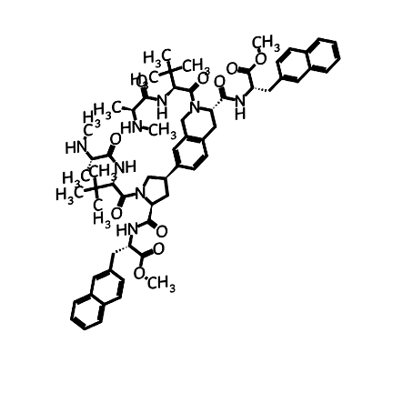 CN[C@@H](C)C(=O)N[C@H](C(=O)N1Cc2cc([C@H]3C[C@@H](C(=O)N[C@@H](Cc4ccc5ccccc5c4)C(=O)OC)N(C(=O)[C@@H](NC(=O)[C@H](C)NC)C(C)(C)C)C3)ccc2C[C@H]1C(=O)N[C@@H](Cc1ccc2ccccc2c1)C(=O)OC)C(C)(C)C